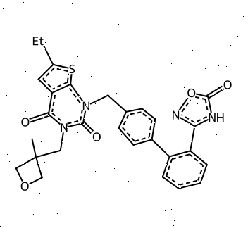 CCc1cc2c(=O)n(CC3(C)COC3)c(=O)n(Cc3ccc(-c4ccccc4-c4noc(=O)[nH]4)cc3)c2s1